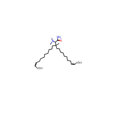 CCCCCCCC/C=C\CCCCCCCCC(C)(CCCCCCCC/C=C\CCCCCCCC)C(C(N)=O)N(C)C